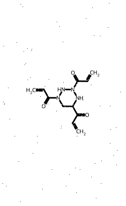 C=CC(=O)C1CN(C(=O)C=C)NN(C(=O)C=C)N1